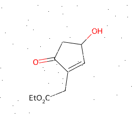 CCOC(=O)CC1=CC(O)CC1=O